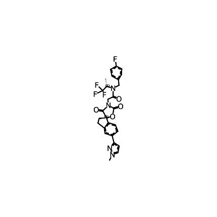 C[C@H](N(Cc1ccc(F)cc1)C(=O)CN1C(=O)O[C@@]2(CCc3cc(-c4ccn(C)n4)ccc32)C1=O)C(F)(F)F